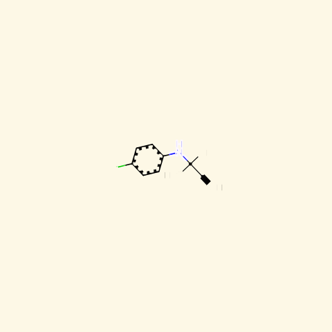 C#CC(C)(C)Nc1ccc(Cl)cc1